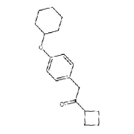 O=C(Cc1ccc(OC2CCCCC2)cc1)C1CCC1